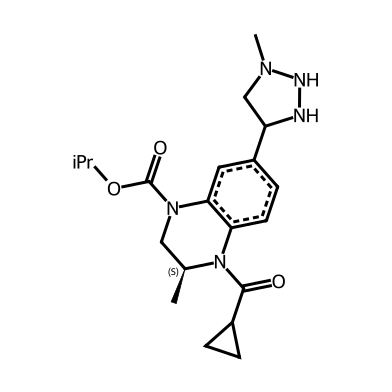 CC(C)OC(=O)N1C[C@H](C)N(C(=O)C2CC2)c2ccc(C3CN(C)NN3)cc21